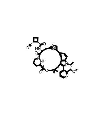 CCn1c(-c2cccnc2[C@H](C)OC)c2c3cc(ccc31)-c1csc(n1)C[C@H](NC(=O)[C@@H]1CC[C@H]1C#N)C(=O)N1CCC[C@H](N1)C(=O)OCC(C)(C)C2